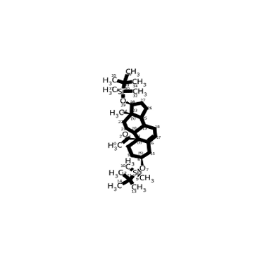 CC(=O)[C@]12CC[C@H](O[Si](C)(C)C(C)(C)C)CC1=CCC1C2CC[C@@]2(C)C1CC[C@@H]2O[Si](C)(C)C(C)(C)C